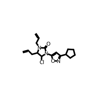 C=CCC1C(Cl)N(c2cc(C3CCCC3)no2)C(=O)N1CC=C